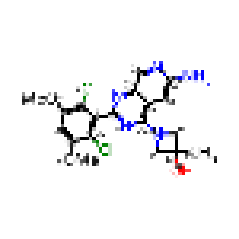 COc1cc(OC)c(Cl)c(-c2nc(N3CC(C)(O)C3)c3cc(N)ncc3n2)c1Cl